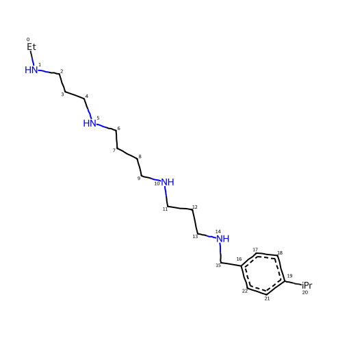 CCNCCCNCCCCNCCCNCc1ccc(C(C)C)cc1